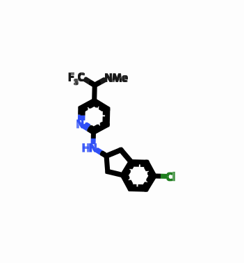 CNC(c1ccc(NC2Cc3ccc(Cl)cc3C2)nc1)C(F)(F)F